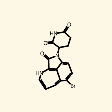 O=C1CCC(N2C(=O)C3=c4c2ccc(Br)c4=CC=CN3)C(=O)N1